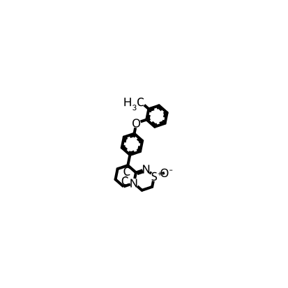 Cc1ccccc1Oc1ccc(C23CCC(CC2)N2CC[S+]([O-])N=C23)cc1